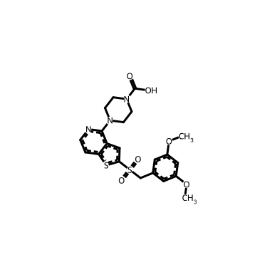 COc1cc(CS(=O)(=O)c2cc3c(N4CCN(C(=O)O)CC4)nccc3s2)cc(OC)c1